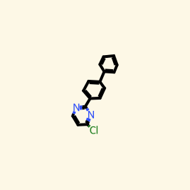 Clc1ccnc(-c2ccc(-c3ccccc3)cc2)n1